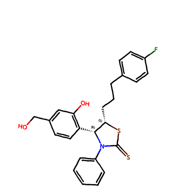 OCc1ccc([C@@H]2[C@H](CCCc3ccc(F)cc3)SC(=S)N2c2ccccc2)c(O)c1